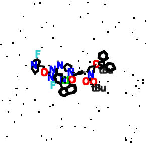 CN(c1nc(OC[C@@]23CCCN2C[C@H](F)C3)nc2c(F)c(-c3cccc4cccc(Cl)c34)ncc12)[C@@H]1CCN(C(=O)C#C[C@@H]2C[C@H](O[Si](c3ccccc3)(c3ccccc3)C(C)(C)C)CN2C(=O)OC(C)(C)C)C1